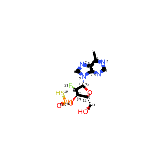 Cc1ncnc2c1ncn2[C@@H]1O[C@H](CO)[C@@H](O[PH](=O)S)[C@H]1F